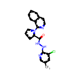 O=C(NNc1ncc(C(F)(F)F)cc1Cl)c1cccn1-c1nccc2ccccc12